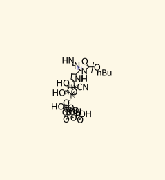 CCCCOC(C)(C)C(=O)N/C(=N/C=N)c1ccc([C@]2(C#N)O[C@H](COP(=O)(O)OP(=O)(O)OP(=O)(O)O)[C@@H](O)[C@H]2O)[nH]1